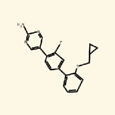 Nc1ncc(-c2ccc(-c3ccccc3SCC3CC3)cc2F)cn1